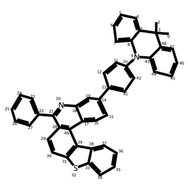 CC1(C)c2ccccc2N(c2ccc(-c3ccc4c(c3)nc(-c3ccccc3)c3ccc5sc6ccccc6c5c34)cc2)c2ccccc21